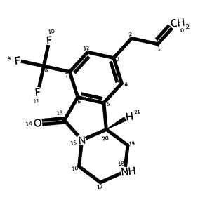 C=CCc1cc2c(c(C(F)(F)F)c1)C(=O)N1CCNC[C@@H]21